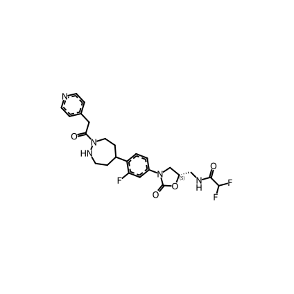 O=C(NC[C@H]1CN(c2ccc(C3CCNN(C(=O)Cc4ccncc4)CC3)c(F)c2)C(=O)O1)C(F)F